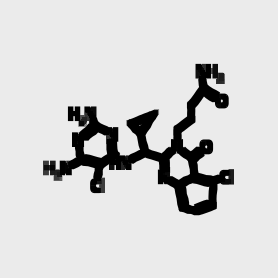 NC(=O)CCCn1c(C(Nc2nc(N)nc(N)c2Cl)C2CC2)nc2cccc(Cl)c2c1=O